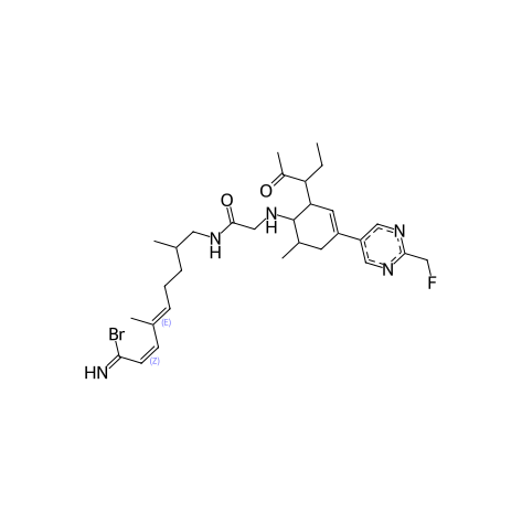 CCC(C(C)=O)C1C=C(c2cnc(CF)nc2)CC(C)C1NCC(=O)NCC(C)CC/C=C(C)/C=C\C(=N)Br